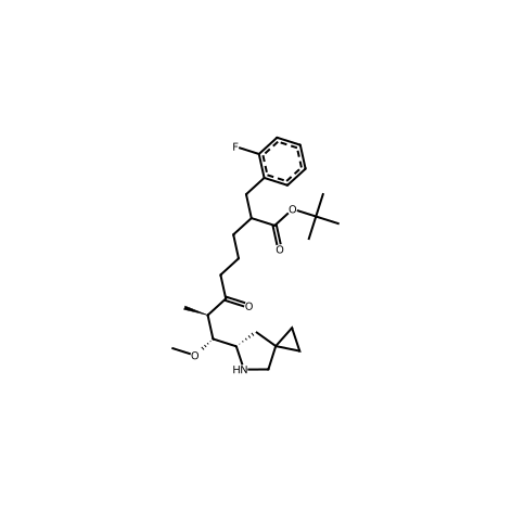 CO[C@@H]([C@@H]1CC2(CC2)CN1)[C@@H](C)C(=O)CCCC(Cc1ccccc1F)C(=O)OC(C)(C)C